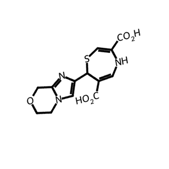 O=C(O)C1=CSC(c2cn3c(n2)COCC3)C(C(=O)O)=CN1